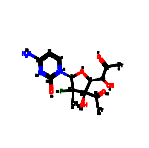 CC(C)C(=O)C(O)[C@H]1O[C@@H](n2ccc(N)nc2=O)[C@](C)(F)[C@@]1(O)C(=O)C(C)C